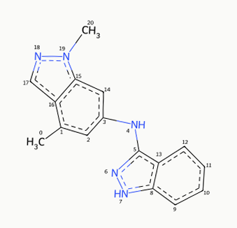 Cc1cc(Nc2n[nH]c3ccccc23)cc2c1cnn2C